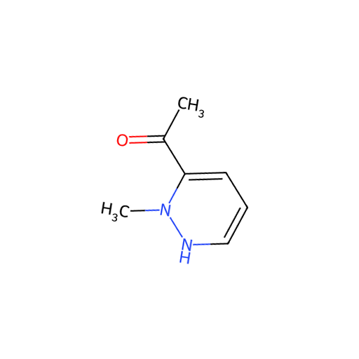 CC(=O)C1=CC=CNN1C